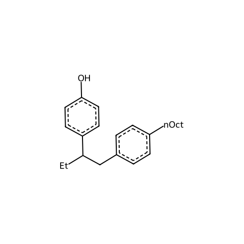 CCCCCCCCc1ccc(CC(CC)c2ccc(O)cc2)cc1